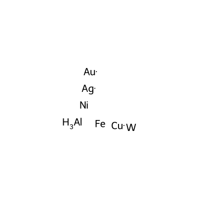 [Ag].[AlH3].[Au].[Cu].[Fe].[Ni].[W]